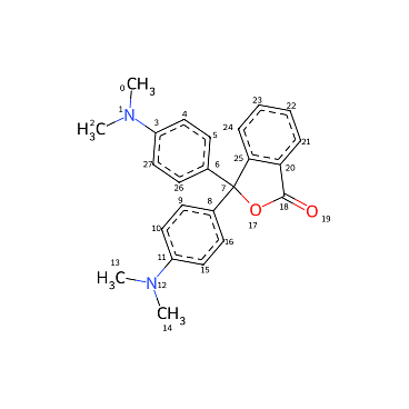 CN(C)c1ccc(C2(c3ccc(N(C)C)cc3)OC(=O)c3ccccc32)cc1